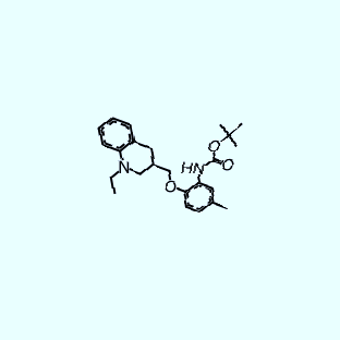 CCN1CC(COc2ccc(C)cc2NC(=O)OC(C)(C)C)Cc2ccccc21